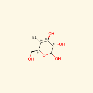 CC[C@@H]1[C@@H](O)[C@H](O)C(O)O[C@H]1CO